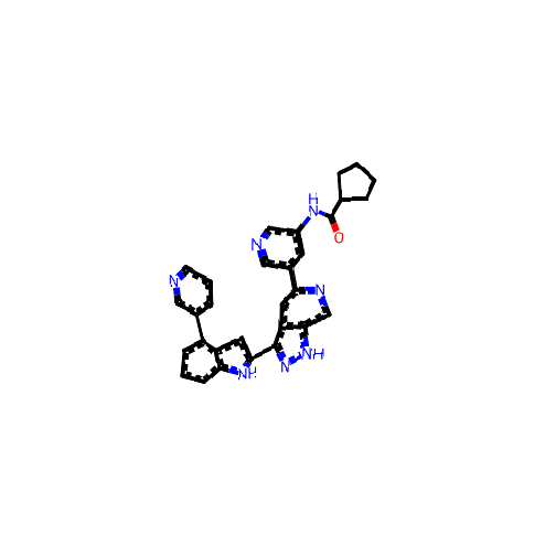 O=C(Nc1cncc(-c2cc3c(-c4cc5c(-c6cccnc6)cccc5[nH]4)n[nH]c3cn2)c1)C1CCCC1